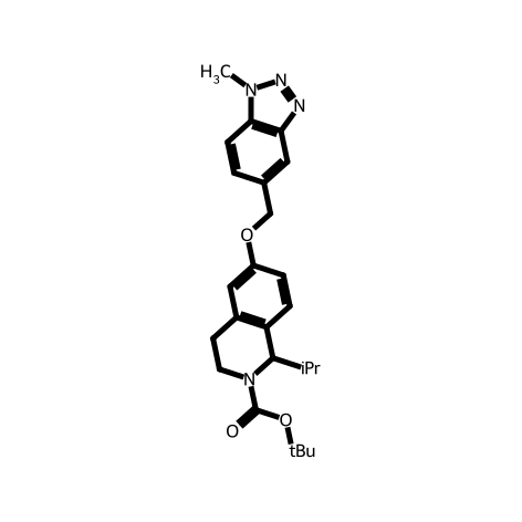 CC(C)C1c2ccc(OCc3ccc4c(c3)nnn4C)cc2CCN1C(=O)OC(C)(C)C